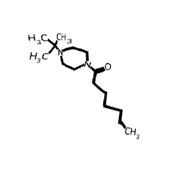 CCCCCCC(=O)N1CCN(C(C)(C)C)CC1